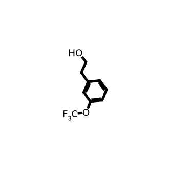 OCCc1cccc(OC(F)(F)F)c1